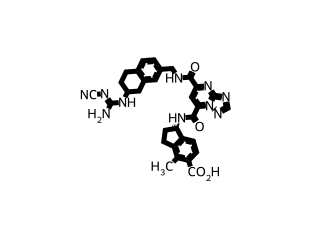 Cc1c(C(=O)O)ccc2c1CC[C@@H]2NC(=O)c1cc(C(=O)NCc2ccc3c(c2)CC(NC(N)=NC#N)CC3)nc2ncnn12